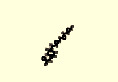 CCOCCOCCOCCN1CCN(CC(C)=O)CC1